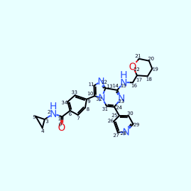 O=C(NC1CC1)c1ccc(-c2cnc3c(NCC4CCCCO4)nc(-c4ccncc4)cn23)cc1